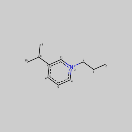 CCC[n+]1cccc(C(C)C)c1